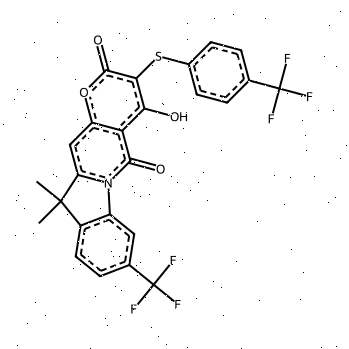 CC1(C)c2ccc(C(F)(F)F)cc2-n2c1cc1oc(=O)c(Sc3ccc(C(F)(F)F)cc3)c(O)c1c2=O